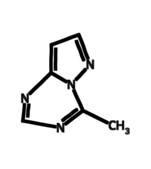 Cc1ncnc2ccnn12